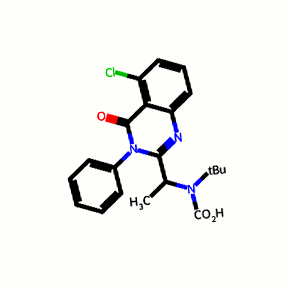 CC(c1nc2cccc(Cl)c2c(=O)n1-c1ccccc1)N(C(=O)O)C(C)(C)C